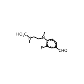 CN(CCN(C)c1ccc(C=O)cc1F)C(=O)O